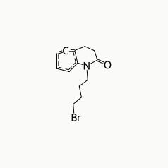 O=C1CCc2ccccc2N1CCCCBr